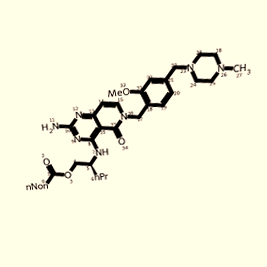 CCCCCCCCCC(=O)OC[C@H](CCC)Nc1nc(N)nc2ccn(Cc3ccc(CN4CCN(C)CC4)cc3OC)c(=O)c12